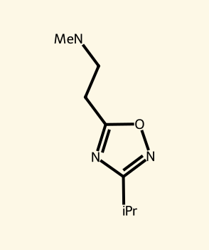 CNCCc1nc(C(C)C)no1